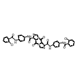 O=C(Nc1ccc(NC(=O)c2ncn3c(=O)c4c(C(=O)Nc5ccc(NC(=O)c6ccccc6Cl)cc5)ncn4c(=O)c23)cc1)c1ccccc1Cl